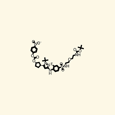 CC(C)(C)OC(=O)NCCOCCNS(=O)(=O)c1ccc(Nc2cc([C@H]3CC[C@@H](OC(=O)Oc4ccc([N+](=O)[O-])cc4)C3)n(C(C)(C)C)n2)c(F)c1